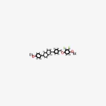 CCOc1ccc(C2CCC3CC(c4ccc(COc5ccc(OCC)c(F)c5F)cc4)CCC3C2)cc1